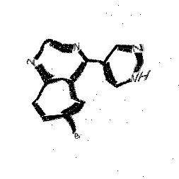 Brc1ccc2ncnc(-c3cn[nH]c3)c2c1